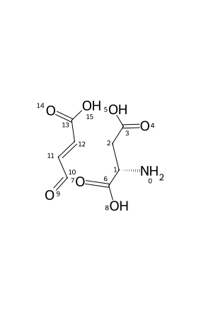 N[C@@H](CC(=O)O)C(=O)O.O=CC=CC(=O)O